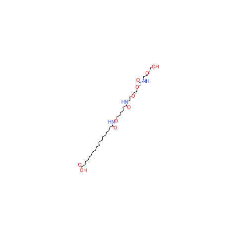 O=C(O)CCCCCCCCCCCCCCCCC(=O)NOCCCCCC(=O)NCCOCCOCC(=O)NCCOCCO